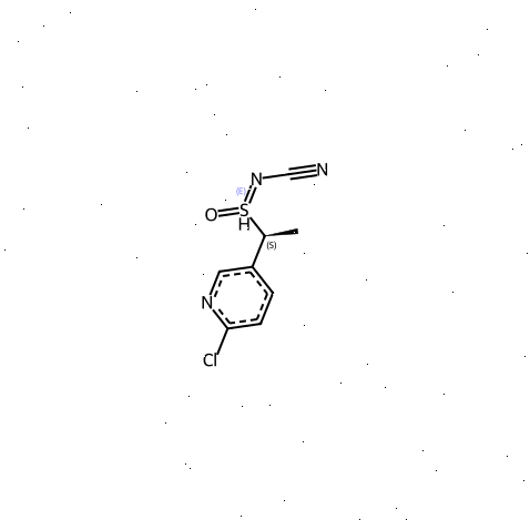 C[C@@H](c1ccc(Cl)nc1)/[SH](=O)=N\C#N